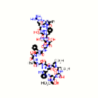 CC[C@H](C)[C@H](NC(=O)[C@H](CO)NC(=O)[C@H](Cc1ccccc1)NC(=O)CNC(=O)CNC(=O)[C@H](CO)NC(=O)[C@H](CO)NC(=O)[C@H](Cc1ccccc1)NC(=O)[C@H](CO)NC(=O)[C@H](CCCNC(=N)N)NC(=O)[C@@H](NC(=O)[C@@H](N)C(C)C)C(C)C)C(=O)NCC(=O)N[C@@H](CO)C(=O)N[C@@H](Cc1c[nH]c2ccccc12)C(=O)N[C@@H](CCC(=O)O)C(=O)N[C@@H](CC(=O)O)C(=O)N[C@@H](CO)C(=O)N[C@@H](CC(N)=O)C(=O)N[C@@H](CO)C(=O)O